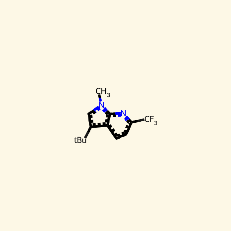 Cn1cc(C(C)(C)C)c2ccc(C(F)(F)F)nc21